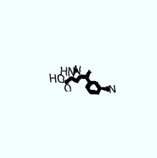 CC(c1cccc(C#N)c1)c1cc(C(=O)O)[nH]n1